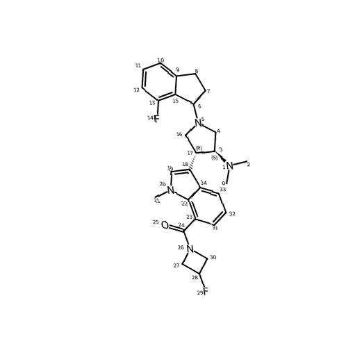 CN(C)[C@@H]1CN(C2CCc3cccc(F)c32)C[C@H]1c1cn(C)c2c(C(=O)N3CC(F)C3)cccc12